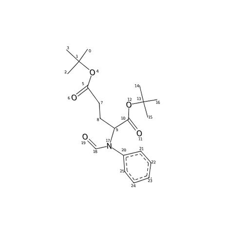 CC(C)(C)OC(=O)CCC(C(=O)OC(C)(C)C)N(C=O)c1cc[c]cc1